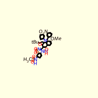 COc1ccc([N+](=O)[O-])cc1CN(c1ccccc1)C1(CCC(C)(C)C)C(=O)C(C2=NS(=O)(=O)c3cc(NS(C)(=O)=O)ccc3N2)=C(O)c2ccccc21